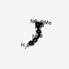 Bc1ccc(N2CCC(CNC(=O)c3ccc(-c4nc5cc(C#N)cc(C(=O)OC)c5o4)cc3)CC2)nc1